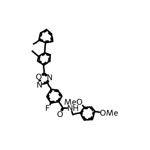 COc1ccc(CNC(=O)c2ccc(-c3noc(-c4ccc(-c5ccccc5C)c(C)c4)n3)cc2F)c(OC)c1